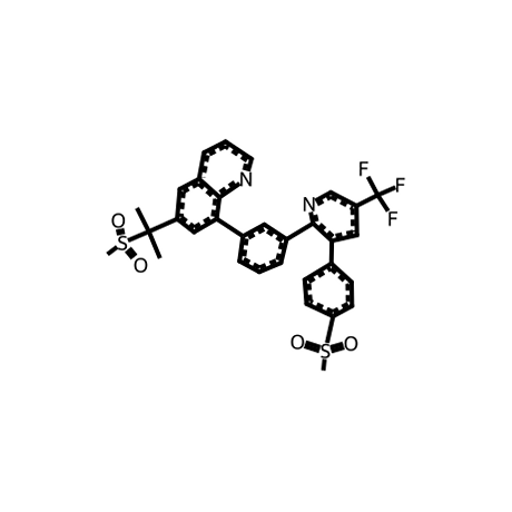 CC(C)(c1cc(-c2cccc(-c3ncc(C(F)(F)F)cc3-c3ccc(S(C)(=O)=O)cc3)c2)c2ncccc2c1)S(C)(=O)=O